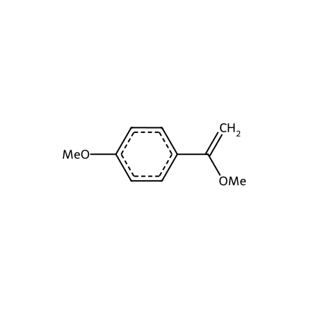 C=C(OC)c1ccc(OC)cc1